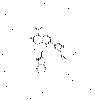 C=C(C)N1c2ccc(-c3cnn(C4CC4)c3)c(CCC3=NC4=CCCC=C4C3)c2CC[C@@H]1C